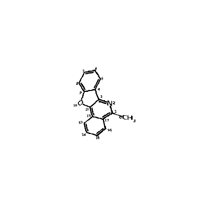 Cc1nc2c3ccccc3oc2c2ccccc12